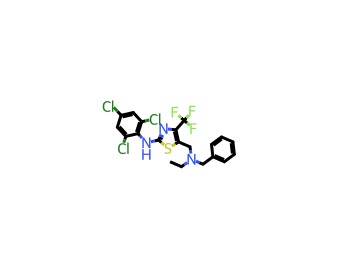 CCN(Cc1ccccc1)Cc1sc(Nc2c(Cl)cc(Cl)cc2Cl)nc1C(F)(F)F